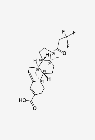 C[C@]12CC[C@H]3[C@@H](CC=C4C=C(C(=O)O)CC[C@@]43C)[C@@H]1CC[C@@H]2C(=O)CC(F)(F)F